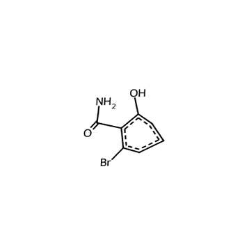 NC(=O)c1c(O)cccc1Br